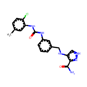 Cc1ccc(Cl)c(NC(=O)Nc2cccc(CNc3c[nH]nc3C(N)=O)c2)c1